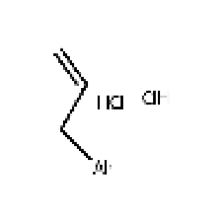 C=C[CH2][Al].Cl.Cl